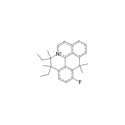 CCC1(C)c2ccc(F)c3c2-c2c4c(cccc4cc[n+]2C1(C)CC)C3(C)C